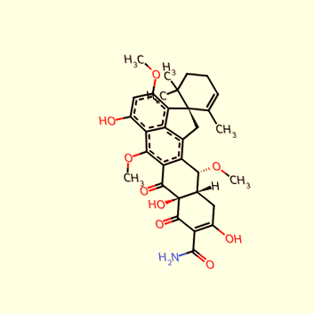 COc1cc(O)c2c(OC)c3c(c4c2c1[C@@]1(C4)C(C)=CCCC1(C)C)[C@H](OC)[C@@H]1CC(O)=C(C(N)=O)C(=O)[C@]1(O)C3=O